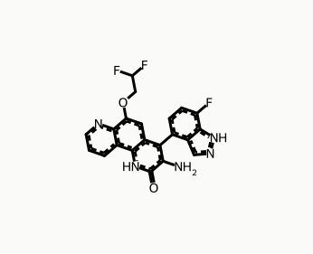 Nc1c(-c2ccc(F)c3[nH]ncc23)c2cc(OCC(F)F)c3ncccc3c2[nH]c1=O